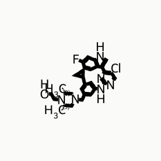 C[C@@H]1CN(Cc2cc(Nc3ncc(Cl)c(-c4c[nH]c5cc(F)ccc45)n3)cc(C3CC3)c2)C[C@H](C)N1CCO